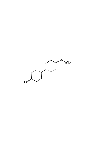 CCCCCCCCCO[C@H]1CC[C@H]([C@H]2CC[C@H](CC)CC2)CC1